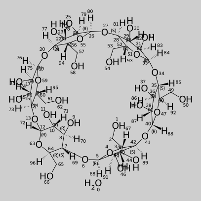 O.OC[C@H]1O[C@@H]2O[C@H]3[C@H](O)[C@@H](O)[C@@H](O[C@H]4[C@H](O)[C@@H](O)[C@@H](O[C@H]5[C@H](O)[C@@H](O)[C@@H](O[C@H]6[C@H](O)[C@@H](O)[C@@H](O[C@H]7[C@H](O)[C@@H](O)[C@@H](O[C@H]1[C@H](O)[C@H]2O)O[C@@H]7CO)O[C@@H]6CO)O[C@@H]5CO)O[C@@H]4CO)O[C@@H]3CO